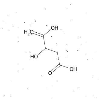 C=C(O)C(O)CC(=O)O